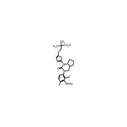 CC(=O)Nc1c(F)ccc(N(CC2CCCC2)C(=O)Nc2ncc(SCC(C)(C)C(=O)O)s2)c1F